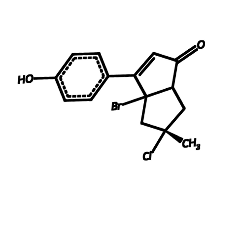 C[C@]1(Cl)CC2C(=O)C=C(c3ccc(O)cc3)C2(Br)C1